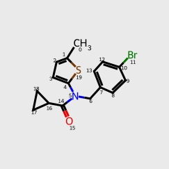 Cc1ccc(N(Cc2ccc(Br)cc2)C(=O)C2CC2)s1